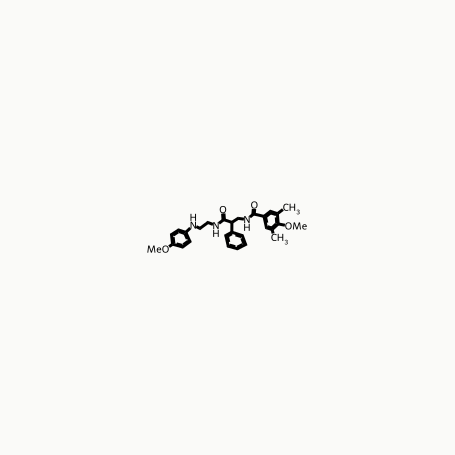 COc1ccc(NCCNC(=O)C(CNC(=O)c2cc(C)c(OC)c(C)c2)c2ccccc2)cc1